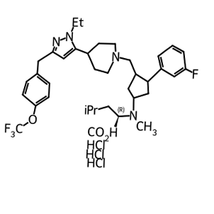 CCn1nc(Cc2ccc(OC(F)(F)F)cc2)cc1C1CCN(CC2CC(N(C)[C@H](CC(C)C)C(=O)O)CC2c2cccc(F)c2)CC1.Cl.Cl.Cl